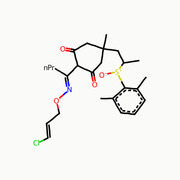 CCCC(=NOCC=CCl)C1C(=O)CC(C)(CC(C)[S+]([O-])c2c(C)cccc2C)CC1=O